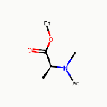 CCOC(=O)[C@H](C)N(C)C(C)=O